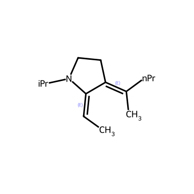 C/C=C1\C(=C(/C)CCC)CCN1C(C)C